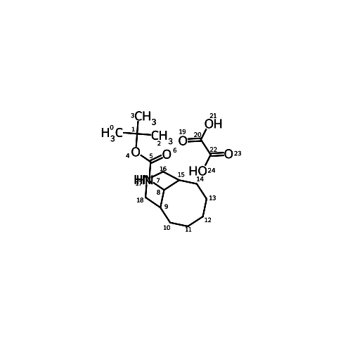 CC(C)(C)OC(=O)NC1C2CCCCCC1CNC2.O=C(O)C(=O)O